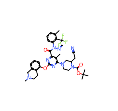 C=NN(C(=O)c1nc(Oc2cccc3c2CCN(C)C3)nc(N2CCN(C(=O)OC(C)(C)C)C(CC#N)C2)c1C)c1cccc(C)c1C(F)(F)F